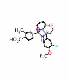 Cc1cc(C(=O)N[C@]2(c3ccc(OC(F)(F)F)c(F)c3)CCOc3cccnc32)ccc1C(=O)O